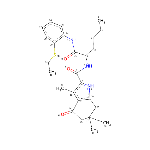 CCCCC(NC(=O)c1[nH]c2c(c1C)C(=O)CC(C)(C)C2)C(=O)Nc1ccccc1SCC